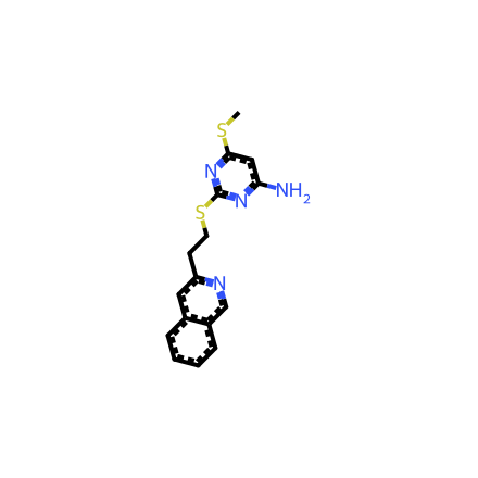 CSc1cc(N)nc(SCCc2cc3ccccc3cn2)n1